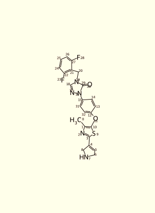 Cc1nc(C2=CCNC2)sc1Oc1ccc(-n2ncn(Cc3c(F)cccc3F)c2=O)cc1